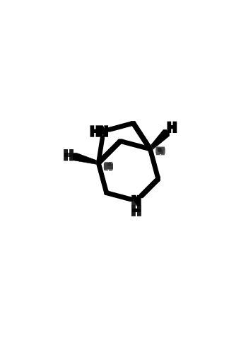 C1NC[C@H]2C[C@@H]1CN2